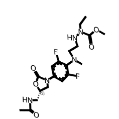 CCN(NCCN(C)c1c(F)cc(N2C[C@H](CNC(C)=O)OC2=O)cc1F)C(=O)OC